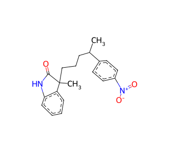 CC(CCCC1(C)C(=O)Nc2ccccc21)c1ccc([N+](=O)[O-])cc1